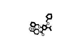 C=C(C)c1cc(C(=O)N2CCC(CC=O)CC2)c(OCc2ccccc2)cc1OCc1ccccc1